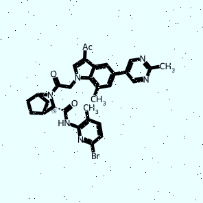 CC(=O)c1cn(CC(=O)N2C3CCC(C3)[C@H]2C(=O)Nc2nc(Br)ccc2C)c2c(C)cc(-c3cnc(C)nc3)cc12